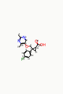 Cc1ncc(OCC2(c3ccc(F)cc3)CC2C(=O)O)c(C)n1